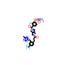 Cc1nnn(Cc2cc(C(F)(F)F)ccc2CCC(=O)N2CC3=C(C2)CN(C(=O)c2ccc(S(N)(=O)=O)cc2F)C3)n1